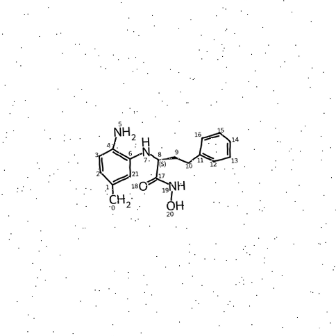 [CH2]c1ccc(N)c(N[C@@H](CCc2ccccc2)C(=O)NO)c1